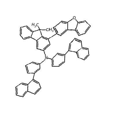 CC1(C)c2ccccc2-c2cc(N(c3cccc(-c4cccc5ccccc45)c3)c3cccc(-c4cccc5ccccc45)c3)cc(-c3ccc4oc5ccccc5c4c3)c21